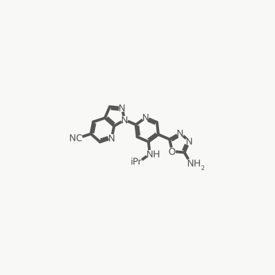 CC(C)Nc1cc(-n2ncc3cc(C#N)cnc32)ncc1-c1nnc(N)o1